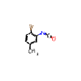 Cc1ccc(Br)c(N=C=O)c1